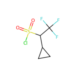 O=S(=O)(Cl)C(C1CC1)C(F)(F)F